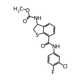 COC(=O)NC1CSc2c(C(=O)Nc3ccc(F)c(Cl)c3)cccc21